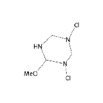 COC1NCN(Cl)CN1Cl